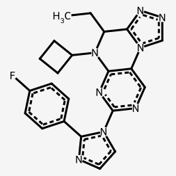 CCC1c2nncn2-c2cnc(-n3ccnc3-c3ccc(F)cc3)nc2N1C1CCC1